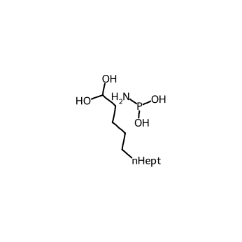 CCCCCCCCCCCC(O)O.NP(O)O